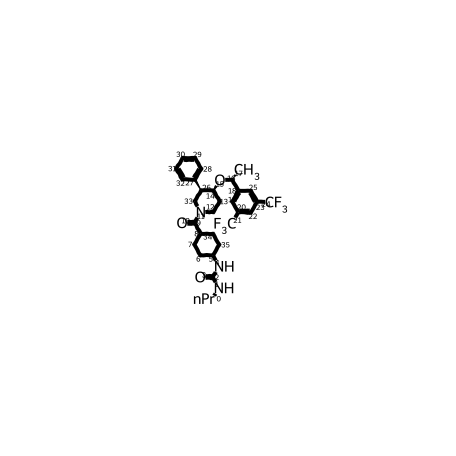 CCCNC(=O)NC1CCC(C(=O)N2CC[C@H](O[C@H](C)c3cc(C(F)(F)F)cc(C(F)(F)F)c3)[C@H](c3ccccc3)C2)CC1